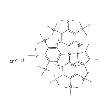 CC1=C(C)[C]([Ti+3])([Si](c2c(C)c([Si](C)(C)C)c([Si](C)(C)C)c([Si](C)(C)C)c2C)(c2c(C)c([Si](C)(C)C)c([Si](C)(C)C)c([Si](C)(C)C)c2C)c2c(C)c([Si](C)(C)C)c([Si](C)(C)C)c([Si](C)(C)C)c2C)C(C)=C1C.[Cl-].[Cl-].[Cl-]